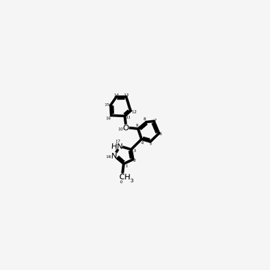 Cc1cc(-c2ccccc2Oc2ccccc2)[nH]n1